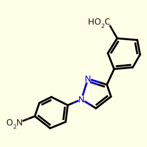 O=C(O)c1cccc(-c2ccn(-c3ccc([N+](=O)[O-])cc3)n2)c1